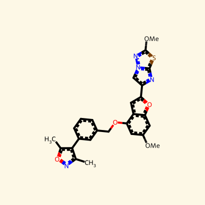 COc1cc(OCc2cccc(-c3c(C)noc3C)c2)c2cc(-c3cn4nc(OC)sc4n3)oc2c1